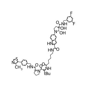 Cc1ncsc1-c1ccc(CNC(=O)[C@@H]2CCCN2C(=O)[C@@H](NC(=O)CCCCCNC(=O)c2cc3cc(N4CC[C@@](O)(C(=O)NCc5cc(F)cc(F)c5)C4O)ccc3[nH]2)C(C)(C)C)cc1